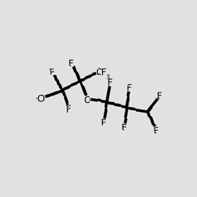 [O]C(F)(F)C(F)(OC(F)(F)C(F)(F)C(F)F)C(F)(F)F